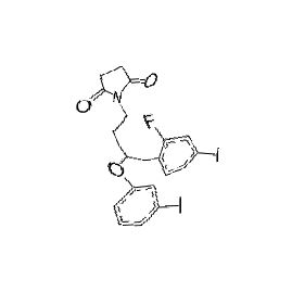 O=C1CCC(=O)N1CCC(Oc1cccc(I)c1)c1ccc(I)cc1F